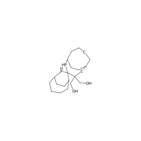 OCC1(CO)CC2CCCCC(CC2)PC12PC1CCCCC2CC1